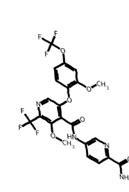 COc1cc(OC(F)(F)F)ccc1Oc1cnc(C(F)(F)F)c(OC)c1C(=O)Nc1ccc(C(N)=O)nc1